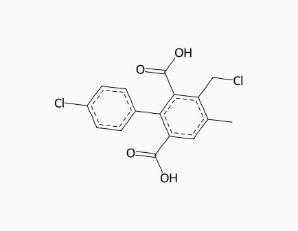 Cc1cc(C(=O)O)c(-c2ccc(Cl)cc2)c(C(=O)O)c1CCl